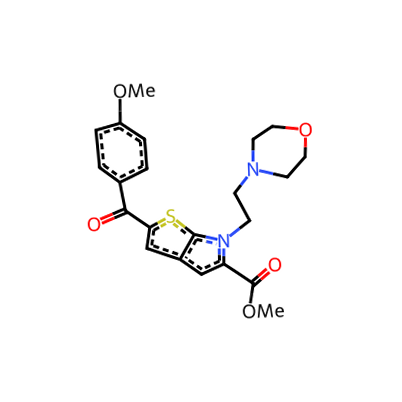 COC(=O)c1cc2cc(C(=O)c3ccc(OC)cc3)sc2n1CCN1CCOCC1